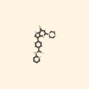 O=C(Nc1ccccn1)c1ccc(-c2csc3c(=O)cc(N4CCOCC4)oc23)cc1